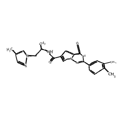 Cc1cnn(CC(C)NC(=O)c2cc3c(=O)[nH]c(-c4ccc(C)c(C)c4)nn3c2)c1